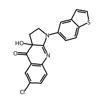 O=C1c2cc(Cl)ccc2N=C2N(c3ccc4sccc4c3)CCC12O